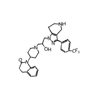 O=C1CCc2ccccc2N1C1CCN(CC(O)Cn2nc(-c3ccc(C(F)(F)F)cc3)c3c2CCNC3)CC1